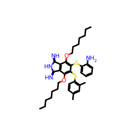 CCCCCCCOc1c(Sc2ccc(C)cc2C)c(Sc2ccccc2N)c(OCCCCCCC)c2c1C(=N)NC2=N